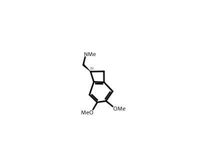 CNC[C@H]1Cc2cc(OC)c(OC)cc21